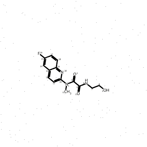 CN(C(=O)C(=O)NCCO)c1ccc2cc(F)ccc2n1